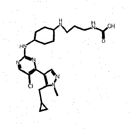 Cn1ncc(-c2nc(NC3CCC(NCCCNC(=O)O)CC3)ncc2Cl)c1CC1CC1